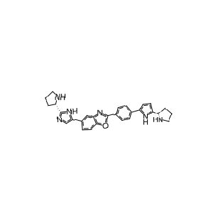 c1cc(-c2nc3cc(-c4cnc([C@@H]5CCCN5)[nH]4)ccc3o2)ccc1-c1ccc(C2CCCN2)[nH]1